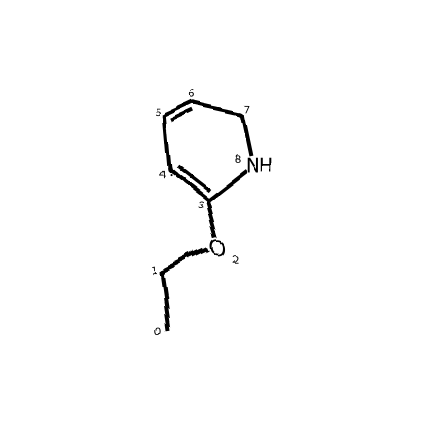 CCOC1=[C]C=CCN1